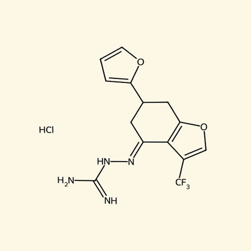 Cl.N=C(N)N/N=C1\CC(c2ccco2)Cc2occ(C(F)(F)F)c21